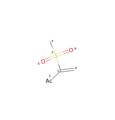 C=C(C(C)=O)S(C)(=O)=O